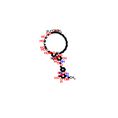 CC(=O)NC1C(O)[C@H](O)C(CO)O[C@H]1Oc1ccc(COC(=O)N[C@@H]2[C@H](O)[C@H](O[C@H]3/C=C/C=C/C=C/C=C/C=C/C=C/C=C/[C@H](C)[C@@H](O)[C@@H](C)[C@H](C)OC(=O)C[C@H](O)C[C@H](O)CC[C@@H](O)[C@H](O)C[C@H](O)C[C@]4(O)C[C@H](O)[C@@H](C(=O)O)[C@H](C3)O4)O[C@H](C)[C@H]2O)cc1[N+](=O)[O-]